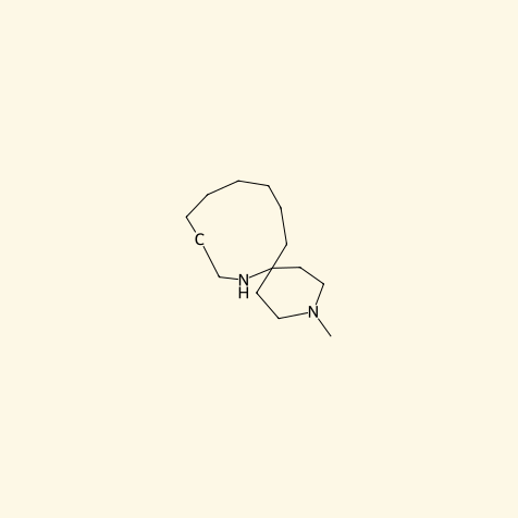 CN1CCC2(CCCCCCCCN2)CC1